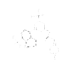 CN1CCN(CC(=O)N[C@@H]2C[C@H](C(F)(F)F)CN(c3ccc(C(F)(F)F)c4ncccc34)C2)CC1